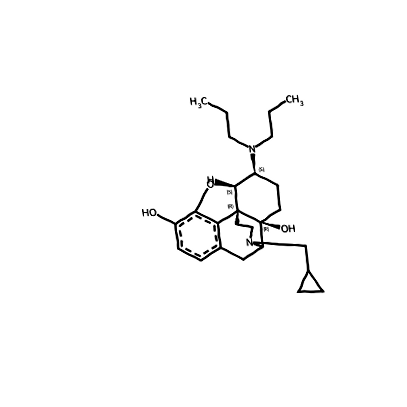 CCCN(CCC)[C@H]1CC[C@]2(O)C3Cc4ccc(O)c5c4[C@]2(CCN3CC2CC2)[C@@H]1O5